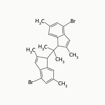 CC1=Cc2c(Br)cc(C)cc2C1C(C)(C)C1C(C)=Cc2c(Br)cc(C)cc21